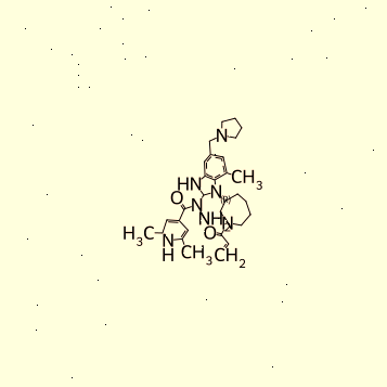 C=CC(=O)N1CCCC[C@@H](N2c3c(C)cc(CN4CCCC4)cc3NC2N(N)C(=O)C2=CC(C)NC(C)=C2)C1